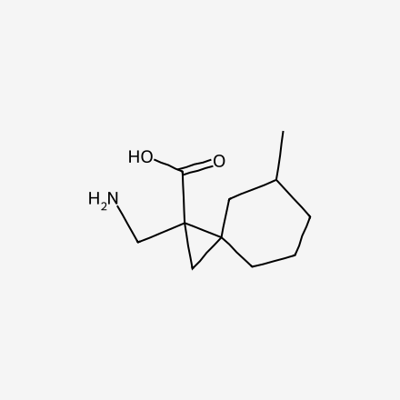 CC1CCCC2(C1)CC2(CN)C(=O)O